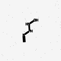 C=NPNO